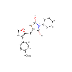 COc1ccc(-c2ccoc2C=C2SC(=O)N(C3CCCCC3)C2=O)cc1